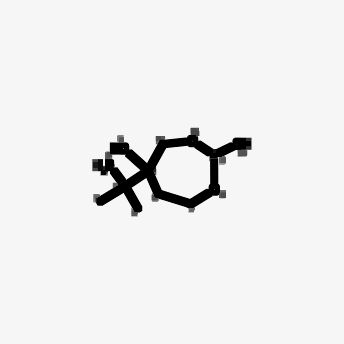 BC(C)(C)C1(O)CCOP(O)OC1